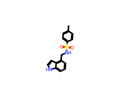 Cc1ccc(S(=O)(=O)NCc2cccc3[nH]ccc23)cc1